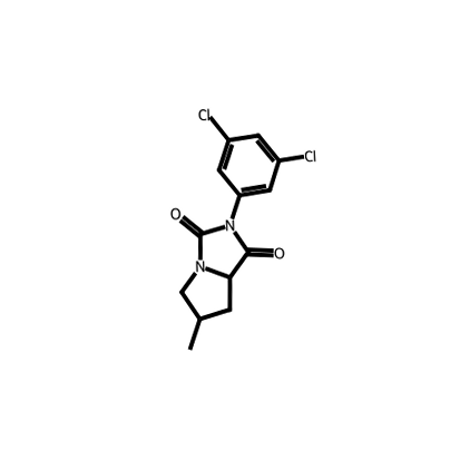 CC1CC2C(=O)N(c3cc(Cl)cc(Cl)c3)C(=O)N2C1